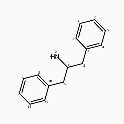 [NH]C(Cc1ccccc1)Cc1ccccc1